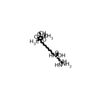 COC1=C(OC)C(=O)C(CCCCCCCCCCN[C@@H](CCCNC(=N)N)C(=O)O)=C(C)C1=O